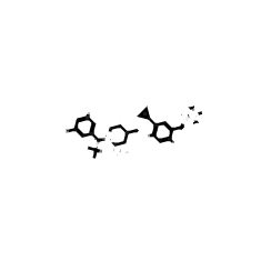 COC(C)(C)[C@@H](c1cc(Cl)cc(Cl)c1)N1CCC(COc2cc(F)c(C(=O)NS(C)(=O)=O)cc2C2CC2)CC1